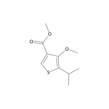 COC(=O)c1csc(C(C)C)c1OC